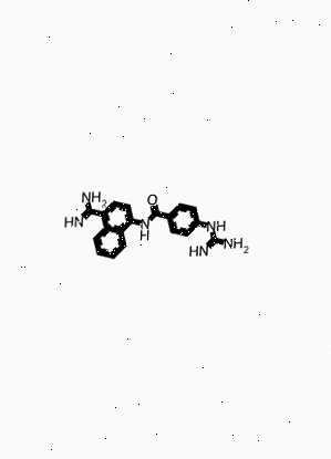 N=C(N)Nc1ccc(C(=O)Nc2ccc(C(=N)N)c3ccccc23)cc1